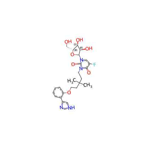 CC(C)(CCOc1ccccc1-c1c[nH]cn1)CCn1c(=O)c(F)cn(C2O[C@H](CO)[C@@H](O)[C@H]2O)c1=O